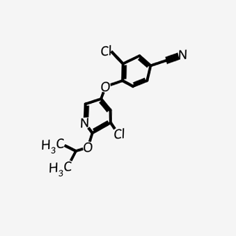 CC(C)Oc1ncc(Oc2ccc(C#N)cc2Cl)cc1Cl